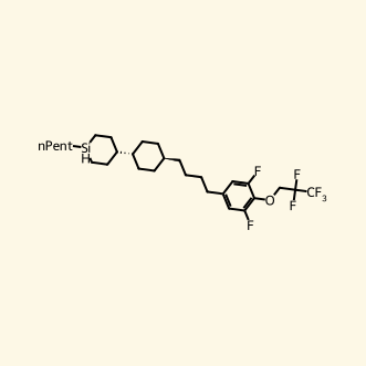 CCCCC[SiH]1CCC([C@H]2CC[C@H](CCCCc3cc(F)c(OCC(F)(F)C(F)(F)F)c(F)c3)CC2)CC1